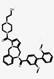 COc1ccccc1-c1ccc(C(=O)N2Cc3ccc(C(=O)N4CCN(CCO)CC4)n3Cc3ccccc32)cc1OC